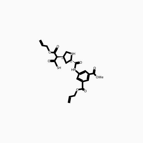 C=CCOC(=O)c1cc(NC(=O)[C@@H]2C[C@@H](C(C(=O)S)C(=O)OCC=C)CN2)cc(C(=O)OC)c1